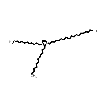 CCCCCCCCCCCCCCCCCCC[n+]1ccn(CCCCCCCCCCC)c1CCCCCCCCCCCCC